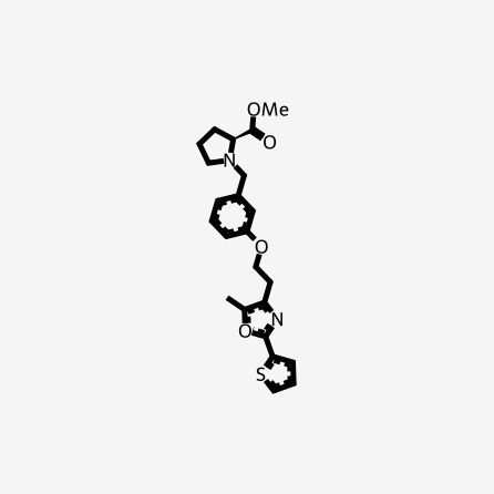 COC(=O)[C@@H]1CCCN1Cc1cccc(OCCc2nc(-c3cccs3)oc2C)c1